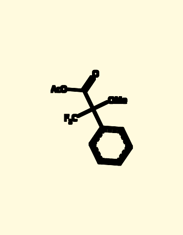 COC(C(=O)OC(C)=O)(c1ccccc1)C(F)(F)F